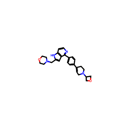 C1=C(c2ccc(-c3nccc4[nH]c(CN5CCOCC5)cc34)cc2)CCN(C2COC2)C1